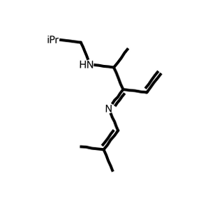 C=C/C(=N\C=C(C)C)C(C)NCC(C)C